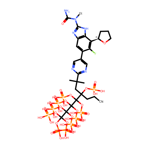 CCN(C(N)=O)c1nc2cc(-c3cnc(C(C)(C)CC(CCC#N)(OP(=O)(O)O)C(OP(=O)(O)O)(OP(=O)(O)O)C(OP(=O)(O)O)(OP(=O)(O)O)C(OP(=O)(O)O)(OP(=O)(O)O)C(OP(=O)(O)O)(OP(=O)(O)O)OP(=O)(O)O)nc3)c(F)c([C@H]3CCCO3)c2[nH]1